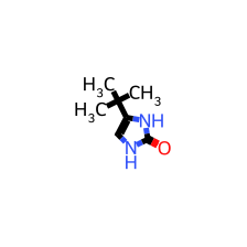 CC(C)(C)c1c[nH]c(=O)[nH]1